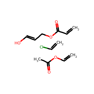 C=CC(=O)OCC=CO.C=CCl.C=COC(C)=O